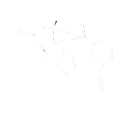 CN1C(=N)N[C@](C)(c2cc(-c3ccc(F)c(C#N)c3)cs2)C(C)(n2ccnc2)C1=O